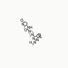 COc1ccc(NC(=O)N2C[C@H](C)N(c3nc(N)nc4c3cnn4C)[C@@H](C)C2)c(C)n1